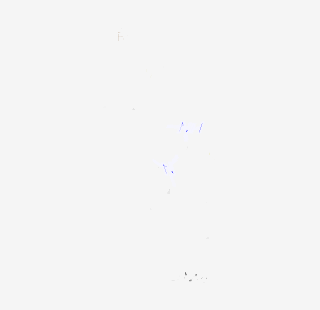 COc1ccc(-n2cc(-c3ccc(Br)s3)[nH]c2=S)cc1